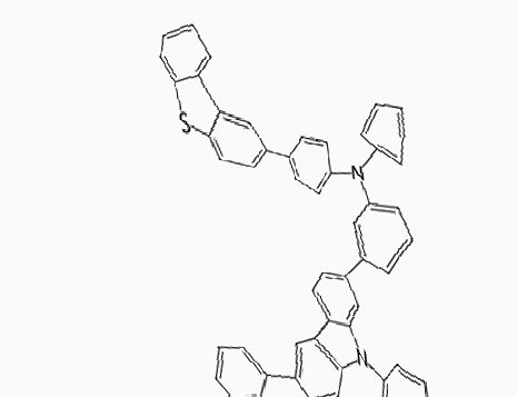 c1ccc(-c2ccc3c(c2)c2ccc(-c4cccc(N(c5ccccc5)c5ccc(-c6ccc7sc8ccccc8c7c6)cc5)c4)cc2n3-c2ccccc2)cc1